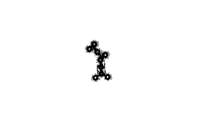 c1ccc(-c2cc(-c3ccccc3)nc(-c3cnc(-c4ccc5c(c4)c4ccccc4n5-c4ccc(-n5c6ccccc6c6ccccc65)cc4)cn3)n2)cc1